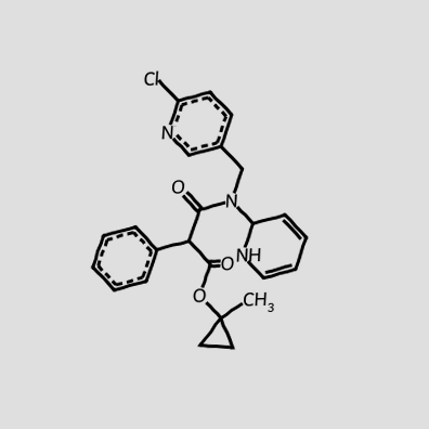 CC1(OC(=O)C(C(=O)N(Cc2ccc(Cl)nc2)C2C=CC=CN2)c2ccccc2)CC1